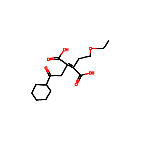 CCOCC/C(C(=O)O)=C(/CC(=O)C1CCCCC1)C(=O)O